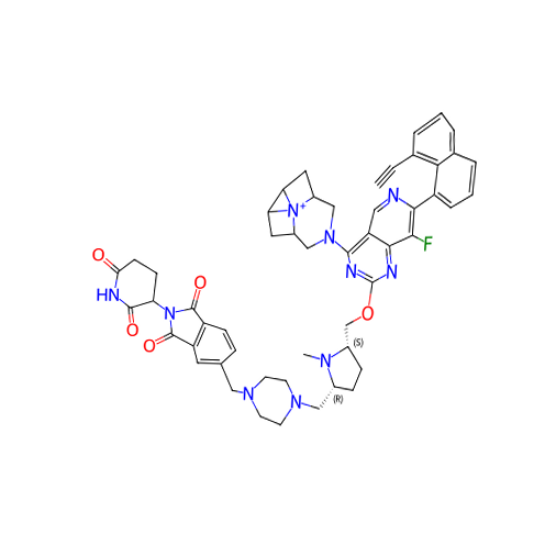 C#Cc1cccc2cccc(-c3ncc4c(N5CC6CC7C8CC(C5)[N+]678)nc(OC[C@@H]5CC[C@H](CN6CCN(Cc7ccc8c(c7)C(=O)N(C7CCC(=O)NC7=O)C8=O)CC6)N5C)nc4c3F)c12